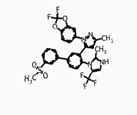 Cc1cc(-c2cc(-c3cccc(S(C)(=O)=O)c3)ccc2N2C(C(F)(F)F)=CNC2C)n(-c2ccc3c(c2)OC(F)(F)O3)n1